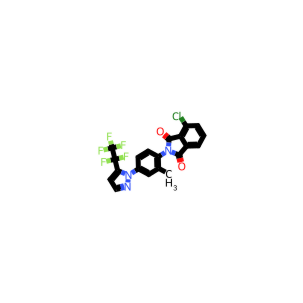 Cc1cc(-n2nccc2C(F)(F)C(F)(F)F)ccc1N1C(=O)c2cccc(Cl)c2C1=O